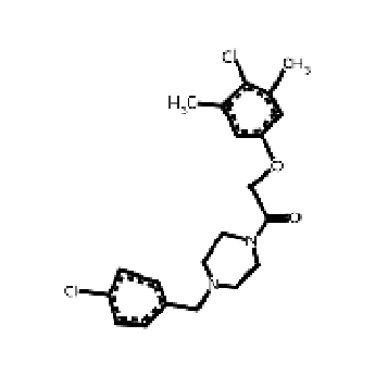 Cc1cc(OCC(=O)N2CCN(Cc3ccc(Cl)cc3)CC2)cc(C)c1Cl